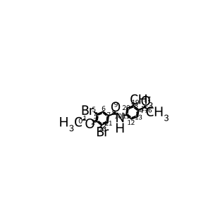 CCOc1c(Br)cc(C(=O)Nc2ccc(C(C)=O)c(C)c2)cc1Br